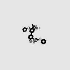 CC(=O)Nc1ccc(-c2cc(OC3CCCC3)c3c(C)n[nH]c3c2)cc1NCCOc1ccccc1